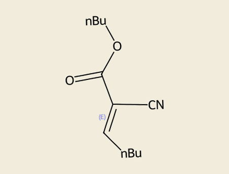 CCCC/C=C(\C#N)C(=O)OCCCC